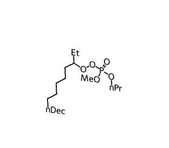 CCCCCCCCCCCCCCCC(CC)OOP(=O)(OC)OCCC